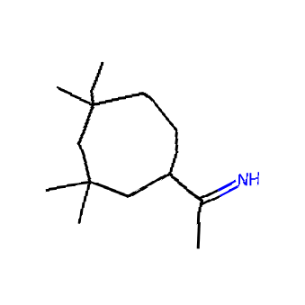 CC(=N)C1CCC(C)(C)CC(C)(C)C1